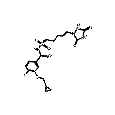 CC(C)C(NS(=O)(=O)CCCCCn1[nH]c(=O)[nH]c1=O)c1ccc(F)c(OCC2CC2)c1